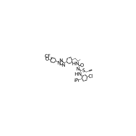 C#CCS/C(=N\C(=O)NC(C)Cc1ccc(-c2ncn(-c3ccc(OC(F)(F)F)cc3)n2)cc1)Nc1cc(Cl)ccc1C(C)C